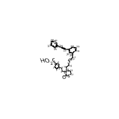 O=C(O)c1ccc(CCN2C(=O)SCCN2CCSCc2cccc(C#Cc3cccs3)c2)s1